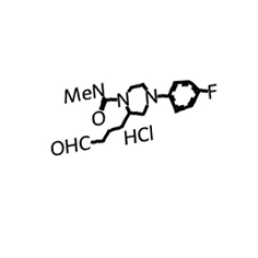 CNC(=O)N1CCN(c2ccc(F)cc2)CC1CCCC=O.Cl